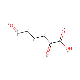 O=[C]CCCC(=O)C(=O)O